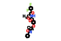 C/C(=C/C(=O)c1ccc(F)cc1F)N[C@@H](Cc1ccc(OCCc2nc(-c3ccccc3)oc2C)cc1)C(=O)O